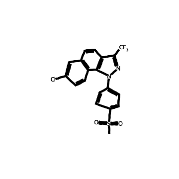 CS(=O)(=O)c1ccc(-n2nc(C(F)(F)F)c3ccc4cc(Cl)ccc4c32)cc1